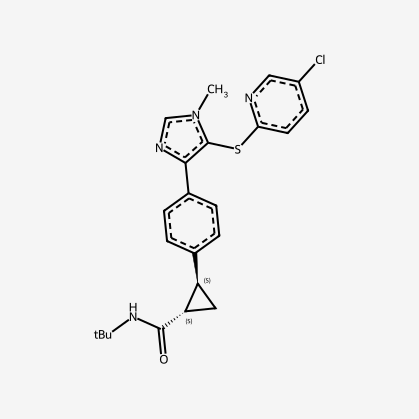 Cn1cnc(-c2ccc([C@H]3C[C@@H]3C(=O)NC(C)(C)C)cc2)c1Sc1ccc(Cl)cn1